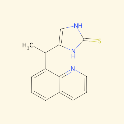 CC(c1c[nH]c(=S)[nH]1)c1cccc2cccnc12